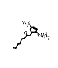 CCCCCCC(=O)Cc1cc(N)ccc1N